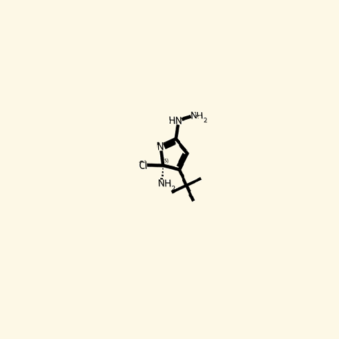 CC(C)(C)C1=CC(NN)=N[C@]1(N)Cl